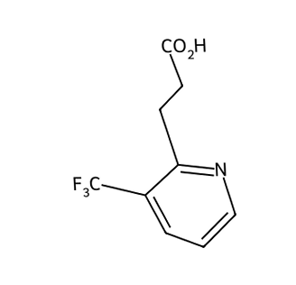 O=C(O)CCc1ncccc1C(F)(F)F